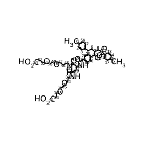 Cc1ccc(CCC(CS(=O)(=O)c2ccc(C)cc2)C(=O)c2ccc(C(=O)NC(CC(=O)NCCOCCOCCC(=O)O)C(=O)NCCCOCCOCCC(=O)O)cc2)cc1